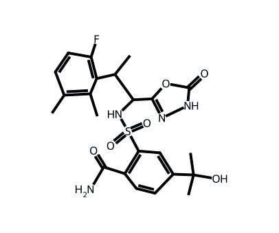 Cc1ccc(F)c(C(C)C(NS(=O)(=O)c2cc(C(C)(C)O)ccc2C(N)=O)c2n[nH]c(=O)o2)c1C